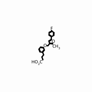 Cc1oc(-c2ccc(F)cc2)cc1COc1cccc(CCCC(=O)O)c1